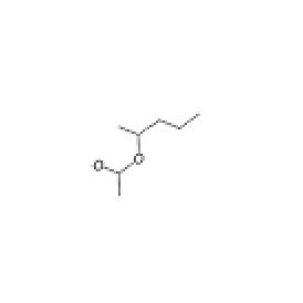 CCCC(C)OC(C)[O]